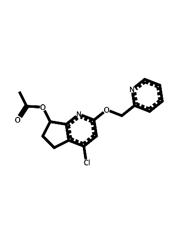 CC(=O)OC1CCc2c(Cl)cc(OCc3ccccn3)nc21